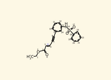 CCOC(=O)/C=C/C#Cc1cccc(NS(=O)(=O)c2ccccc2)c1